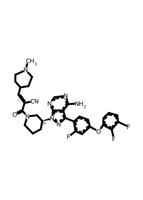 CN1CCC(/C=C(\C#N)C(=O)N2CCC[C@H](n3nc(-c4ccc(Oc5cccc(F)c5F)cc4F)c4c(N)ncnc43)C2)CC1